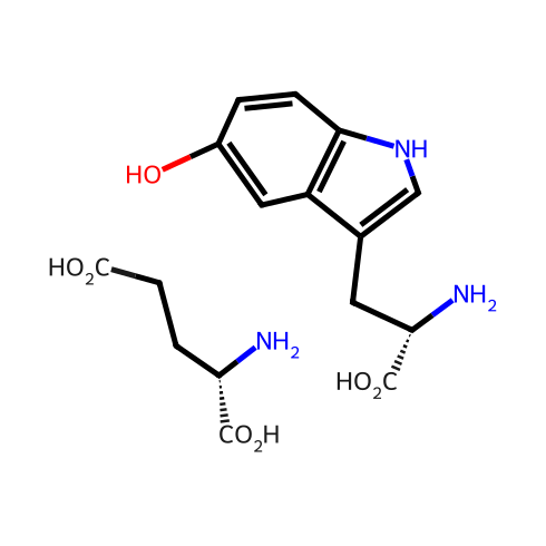 N[C@@H](CCC(=O)O)C(=O)O.N[C@@H](Cc1c[nH]c2ccc(O)cc12)C(=O)O